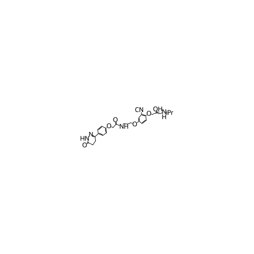 CC(C)NC[C@H](O)COc1ccc(OCCCNC(=O)COc2ccc(C3=NNC(=O)CC3)cc2)cc1C#N